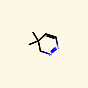 CC1(C)C=CN=NC1